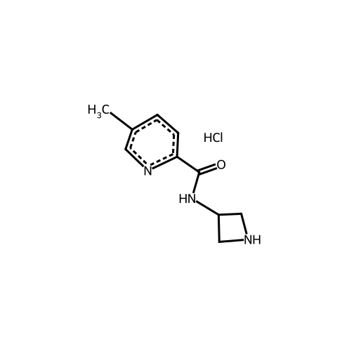 Cc1ccc(C(=O)NC2CNC2)nc1.Cl